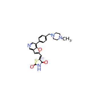 CN1CCN(Cc2ccc(-c3cncc4cc(/C=C5\SC(=O)NC5=O)oc34)cc2)CC1